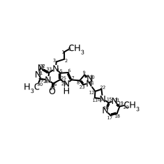 CCCCn1c2cc(-c3cnn(C4CN(c5nccc(C)n5)C4)c3)[nH]c2c(=O)n2c(C)nnc12